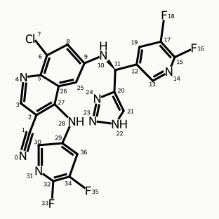 N#Cc1cnc2c(Cl)cc(N[C@@H](c3cnc(F)c(F)c3)c3c[nH]nn3)cc2c1Nc1cnc(F)c(F)c1